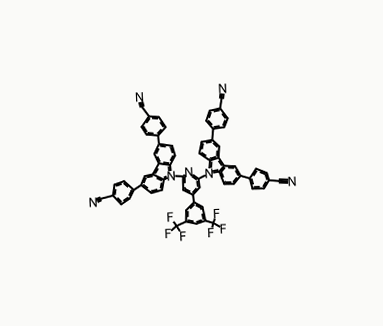 N#Cc1ccc(-c2ccc3c(c2)c2cc(-c4ccc(C#N)cc4)ccc2n3-c2cc(-c3cc(C(F)(F)F)cc(C(F)(F)F)c3)cc(-n3c4ccc(-c5ccc(C#N)cc5)cc4c4cc(-c5ccc(C#N)cc5)ccc43)n2)cc1